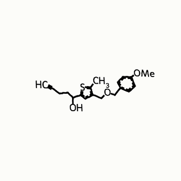 C#CCCC(O)c1cc(COCc2ccc(OC)cc2)c(C)s1